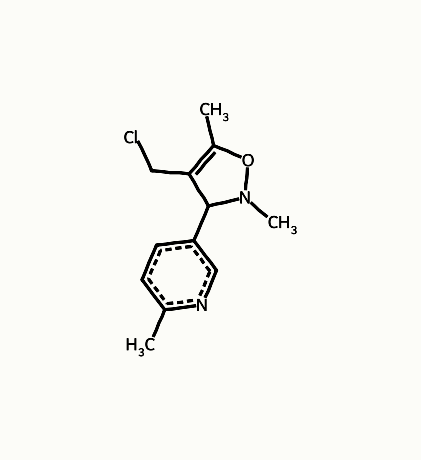 CC1=C(CCl)C(c2ccc(C)nc2)N(C)O1